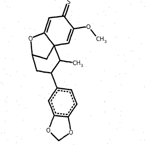 COC1=CC23CC(CC(c4ccc5c(c4)OCO5)C2C)OC3=CC1=S